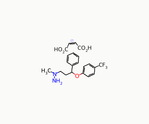 CN(N)CCC(Oc1ccc(C(F)(F)F)cc1)c1ccccc1.O=C(O)/C=C\C(=O)O